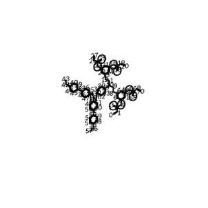 C=CC(=O)Oc1cc(CCC(CCc2cc(OC(=O)C=C)cc(OC(=O)C=C)c2)c2ccc(N(c3ccc(-c4ccc(CC)cc4)cc3)c3ccc(-c4ccc(CC)cc4)cc3)cc2)cc(OC(=O)C=C)c1